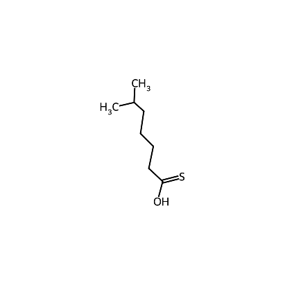 CC(C)CCCCC(O)=S